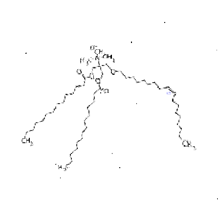 CCCCCCCC/C=C\CCCCCCCCOCC(COC(=O)CCCCCCCCCCCCC)(COC(=O)CCCCCCCCCCCCC)[N+](C)(C)C.[Cl-]